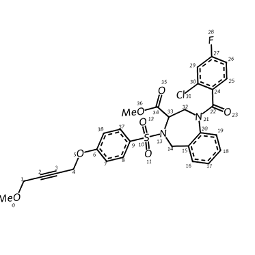 COCC#CCOc1ccc(S(=O)(=O)N2Cc3ccccc3N(C(=O)c3ccc(F)cc3Cl)CC2C(=O)OC)cc1